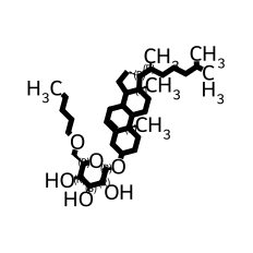 CCCCCOC[C@H]1O[C@@H](OC2CC[C@@]3(C)C(=CCC4C3CC[C@@]3(C)C4CC[C@@H]3[C@H](C)CCCC(C)C)C2)[C@H](O)[C@@H](O)[C@H]1O